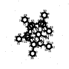 N#Cc1c(-c2cccc(-c3ccccc3)n2)c(-n2c3ccccc3c3cc(-c4ccccc4)ccc32)c(-n2c3ccccc3c3cc(-c4ccccc4)ccc32)c(-n2c3ccccc3c3cc(-c4ccccc4)ccc32)c1-n1c2ccccc2c2cc(-c3ccccc3)ccc21